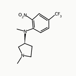 CN1CC[C@H](N(C)c2ccc(C(F)(F)F)cc2[N+](=O)[O-])C1